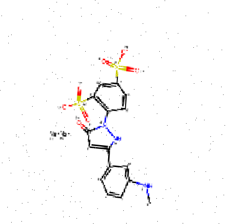 CNc1cccc(-c2cc(=O)n(-c3ccc(S(=O)(=O)[O-])cc3S(=O)(=O)[O-])[nH]2)c1.[Na+].[Na+]